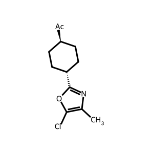 Cc1nc([C@H]2CC[C@H](C(C)=O)CC2)oc1Cl